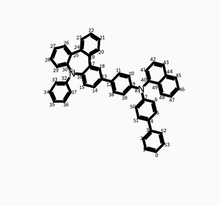 c1ccc(-c2ccc(N(c3ccc(-c4ccc5c(c4)-c4ccccc4-c4ccccc4N5c4ccccc4)cc3)c3cccc4ccccc34)cc2)cc1